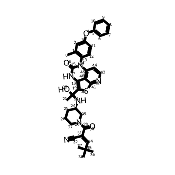 Cc1cc(Oc2ccccc2)ccc1N1C(=O)Nc2c(C(C)(O)N[C@@H]3CCCN(C(=O)/C(C#N)=C/C(C)(C)C)C3)sc3nccc1c23